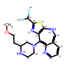 COCCC1CN(C2=c3ncccc3=CNc3sc(C(F)F)nc32)CCN1